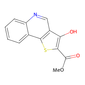 COC(=O)c1sc2c(cnc3ccccc32)c1O